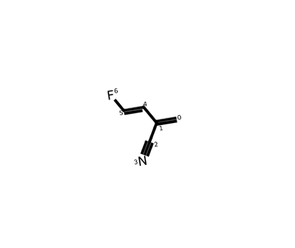 C=C(C#N)C=CF